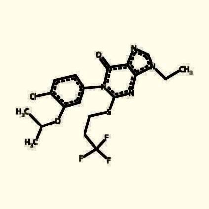 CCn1cnc2c(=O)n(-c3ccc(Cl)c(OC(C)C)c3)c(SCCC(F)(F)F)nc21